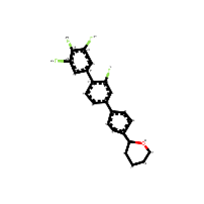 Fc1cc(-c2ccc(C3CCCCO3)cc2)ccc1-c1cc(F)c(F)c(F)c1